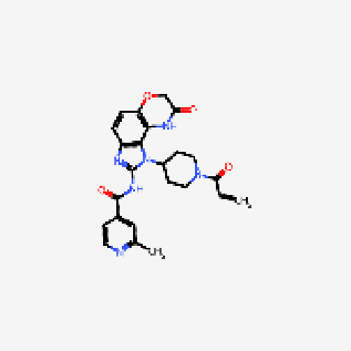 C=CC(=O)N1CCC(n2c(NC(=O)c3ccnc(C)c3)nc3ccc4c(c32)NC(=O)CO4)CC1